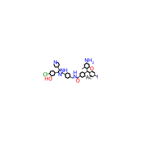 CC(=O)c1cc(C(=O)NCc2ccc(-c3nc(-c4ccc(Cl)c(O)c4)c(-c4ccncc4)[nH]3)cc2)ccc1C1=C2C=CC(I)C=C2Oc2cc(N)cc(C)c21